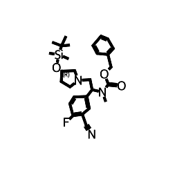 CN(C(=O)OCc1ccccc1)C(CN1CC[C@@H](O[Si](C)(C)C(C)(C)C)C1)c1ccc(F)c(C#N)c1